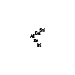 [Al].[Ga].[In].[Sn].[Zn]